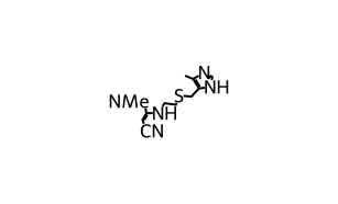 CN/C(=C/C#N)NCCSCc1[nH]cnc1C